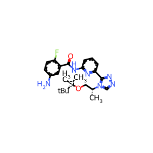 C[C@H](CO[Si](C)(C)C(C)(C)C)n1cnnc1-c1cccc(NC(=O)c2cc(N)ccc2F)n1